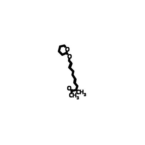 CC(=O)C(C)CC=CCCC=CCOC1CCCCO1